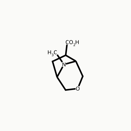 CN1C2COCC1C(C(=O)O)C2